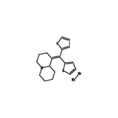 CCBr.c1csc(C(=C2CCCN3CCCCC23)c2cccs2)c1